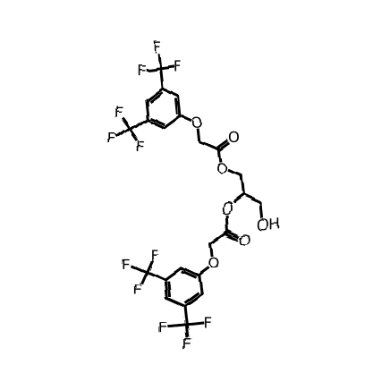 O=C(COc1cc(C(F)(F)F)cc(C(F)(F)F)c1)OCC(CO)OC(=O)COc1cc(C(F)(F)F)cc(C(F)(F)F)c1